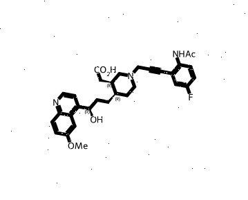 COc1ccc2nccc([C@H](O)CC[C@@H]3CCN(CC#Cc4cc(F)ccc4NC(C)=O)C[C@@H]3CC(=O)O)c2c1